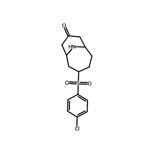 O=C1CC2CCC(S(=O)(=O)c3ccc(Cl)cc3)CC(C1)N2